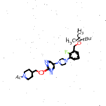 CC(=O)N1CCC(COc2ncc(N3CCN(c4cccc(CO[Si](C)(C)C(C)(C)C)c4F)CC3)cn2)CC1